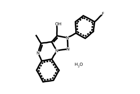 CC1=Nc2ccccc2N2[N]N(c3ccc(F)cc3)C(O)=C12.O